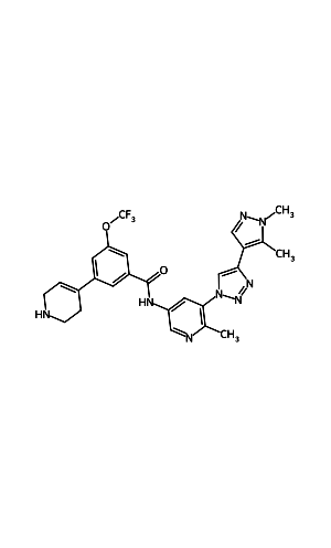 Cc1ncc(NC(=O)c2cc(OC(F)(F)F)cc(C3=CCNCC3)c2)cc1-n1cc(-c2cnn(C)c2C)nn1